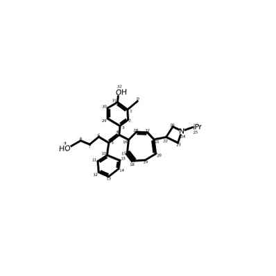 Cc1cc(/C(=C(\CCCO)c2ccccc2)C2C#CC/C=C(C3CN(C(C)C)C3)\C=C/2)ccc1O